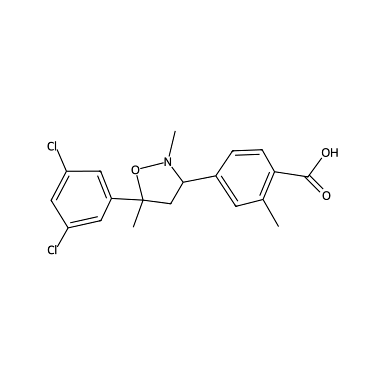 Cc1cc(C2CC(C)(c3cc(Cl)cc(Cl)c3)ON2C)ccc1C(=O)O